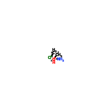 CCl.CO.N